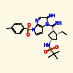 CC[C@@H]1C[C@H](NS(=O)(=O)C(C)(C)C)C[C@@H]1C(=N)n1c(=N)cnc2c1ccn2S(=O)(=O)c1ccc(C)cc1